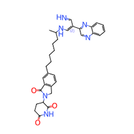 CC(CCCCCCc1ccc2c(c1)C(=O)N(C1CCC(=O)NC1=O)C2)N/C=C(\C=N)c1cnc2ccccc2n1